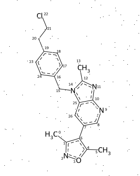 Cc1noc(C)c1-c1cnc2nc(C)n(Cc3ccc(CCCl)cc3)c2c1